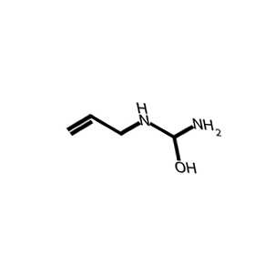 C=CCNC(N)O